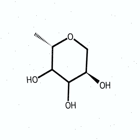 C[C@@H]1OC[C@@H](O)C(O)C1O